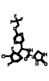 O=C1NC[C@@H](C(=O)NC(c2cnc(OCC(F)(F)F)cn2)c2ccc(F)c(Cl)c2F)N1